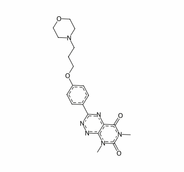 Cn1c(=O)c2nc(-c3ccc(OCCCN4CCOCC4)cc3)nnc2n(C)c1=O